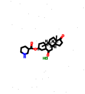 C[C@]12CC[C@H](OC(=O)C3CCCNC3)CC1C(=O)C[C@@H]1[C@@H]2CC[C@]2(C)C(=O)CC[C@@H]12.Cl